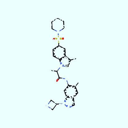 Cc1cc2cnn(C3CNC3)c2cc1NC(=O)C(C)n1cc(C)c2cc(S(=O)(=O)N3CCCCC3)ccc21